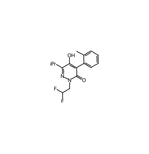 Cc1ccccc1-c1c(O)c(C(C)C)nn(CC(F)F)c1=O